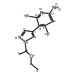 CCOC(C)n1cc(-c2c(F)cc(N)nc2F)cn1